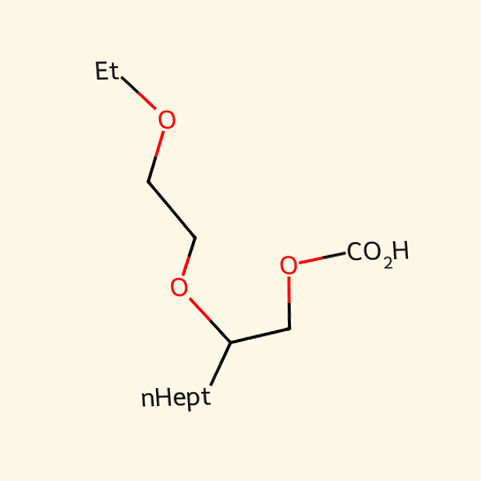 CCCCCCCC(COC(=O)O)OCCOCC